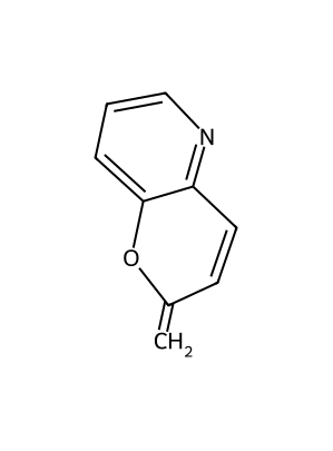 C=C1C=Cc2ncccc2O1